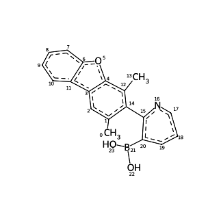 Cc1cc2c(oc3ccccc32)c(C)c1-c1ncccc1B(O)O